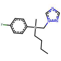 CCCC[Si](C)(Cn1cncn1)c1ccc(F)cc1